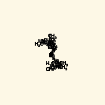 C=Cc1cccc(NCC2CCN(CCN3CC(C#Cc4sc(NC)c(/C(=N\CC)c5ccc(Cl)cc5)c4C)C=N3)CC2)c1CN(C)C(C=C)CCC(=C)NC